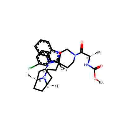 Cc1nc2ccccc2n1[C@H]1C[C@H]2CC[C@@H](C1)N2CCC1(c2cccc(F)c2)CCN(C(=O)[C@@H](NC(=O)OC(C)(C)C)C(C)C)CC1